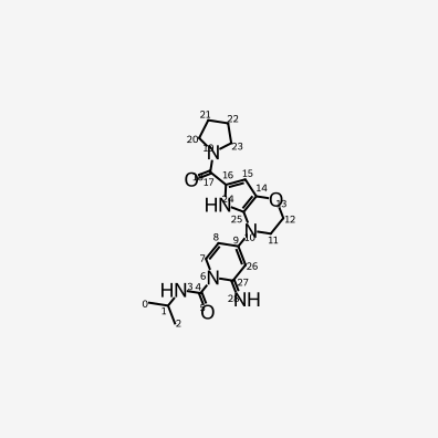 CC(C)NC(=O)n1ccc(N2CCOc3cc(C(=O)N4CCCC4)[nH]c32)cc1=N